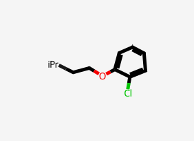 CC(C)CCOc1c[c]ccc1Cl